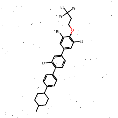 CCc1cc(-c2cc(CC)c(OCCC(CC)(CC)CC)c(CC)c2)ccc1-c1ccc(C2CCC(C)CC2)cc1